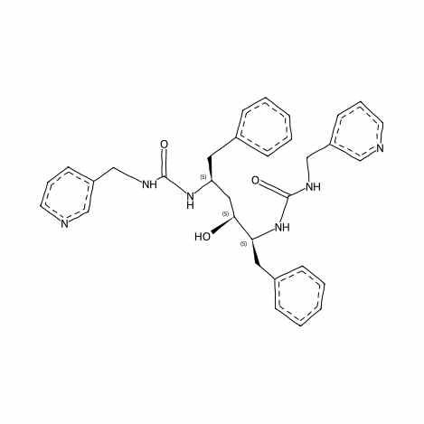 O=C(NCc1cccnc1)N[C@@H](Cc1ccccc1)C[C@H](O)[C@H](Cc1ccccc1)NC(=O)NCc1cccnc1